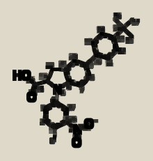 Cc1ccc(N2c3ccc(-c4ccc(C(C)(C)C)cc4)cc3CC2C(=O)O)cc1[N+](=O)[O-]